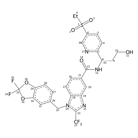 CCS(=O)(=O)c1ccc([C@H](CCO)NC(=O)c2ccc3c(c2)nc(C(F)(F)F)n3Cc2ccc3c(c2)OC(F)(F)O3)nc1